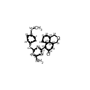 CSc1ccc(Sc2nc(N)nc(-c3c(Cl)cc4c5c(cccc35)COC4)n2)cc1